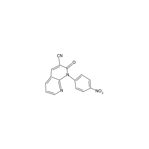 N#Cc1cc2cccnc2n(-c2ccc([N+](=O)[O-])cc2)c1=O